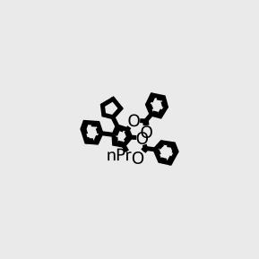 CCCc1cc(-c2ccccc2)c(C2CCCC2)c(OC(=O)c2ccccc2)c1OC(=O)c1ccccc1